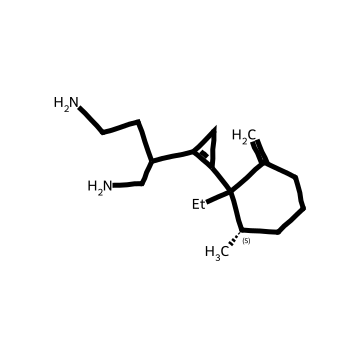 C=C1CCC[C@H](C)C1(CC)C1=C(C(CN)CCN)C1